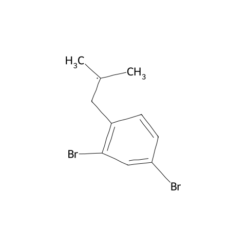 C[C](C)Cc1ccc(Br)cc1Br